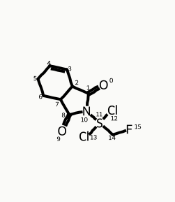 O=C1C2C=CCCC2C(=O)N1S(Cl)(Cl)CF